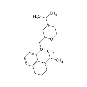 CC(C)N1CCOC(COc2cccc3c2N(C(C)C)CCC3)C1